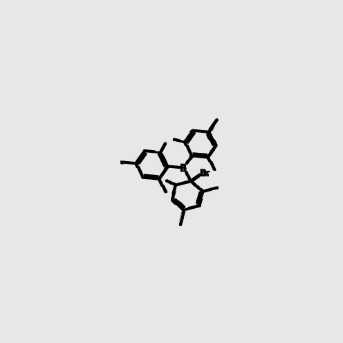 CC1=CC(C)C(Br)(B(c2c(C)cc(C)cc2C)c2c(C)cc(C)cc2C)C(C)=C1